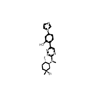 CC[C@@]1(C)CC[C@H](F)[C@@H](N(C)c2ncc(-c3ccc(-n4ccnc4)cc3O)nn2)C1